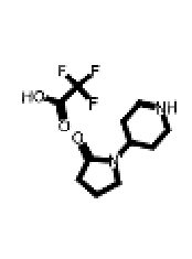 O=C(O)C(F)(F)F.O=C1CCCN1C1CCNCC1